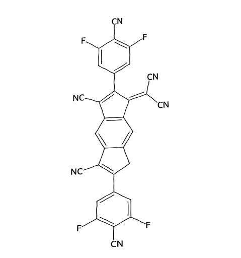 N#CC(C#N)=C1C(c2cc(F)c(C#N)c(F)c2)=C(C#N)c2cc3c(cc21)CC(c1cc(F)c(C#N)c(F)c1)=C3C#N